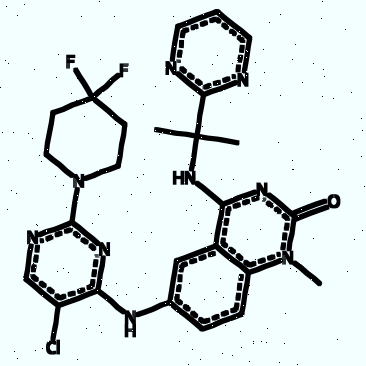 Cn1c(=O)nc(NC(C)(C)c2ncccn2)c2cc(Nc3nc(N4CCC(F)(F)CC4)ncc3Cl)ccc21